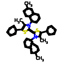 CC1=C(c2ccccc2)S/C(=C2/SC(c3ccccc3)=C(C)N2c2cccc3cc(C)ccc23)N1c1cccc2cc(C)ccc12